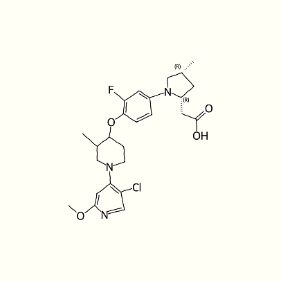 COc1cc(N2CCC(Oc3ccc(N4C[C@H](C)C[C@@H]4CC(=O)O)cc3F)C(C)C2)c(Cl)cn1